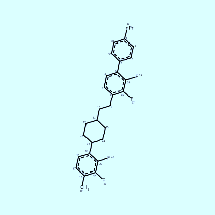 CCCc1ccc(-c2ccc(CCC3CCC(c4ccc(C)c(F)c4F)CC3)c(F)c2F)cc1